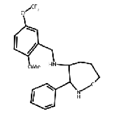 COc1ccc(OC(F)(F)F)cc1CNC1CCCCNC1c1ccccc1